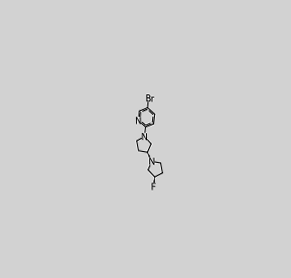 F[C@@H]1CCN([C@H]2CCN(c3ccc(Br)cn3)C2)C1